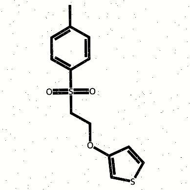 Cc1ccc(S(=O)(=O)CCOc2ccsc2)cc1